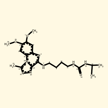 COc1cc2nc(NCCCCNC(=O)NC(C)C)c3nnc(C)n3c2cc1OC